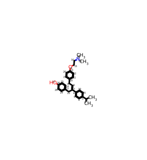 CC(C)c1ccc(/C(=C/Cc2ccc(OCCN(C)C)cc2)Cc2ccc(O)cc2)cc1